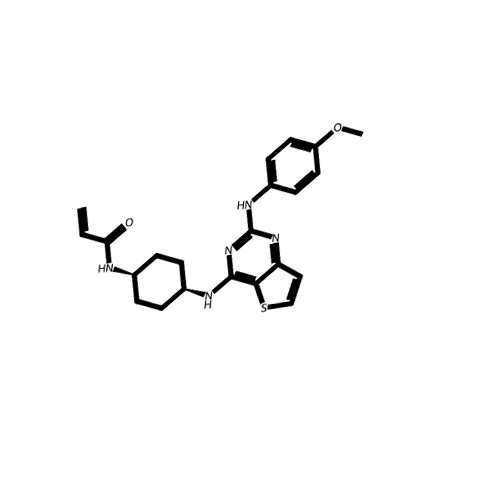 C=CC(=O)N[C@H]1CC[C@@H](Nc2nc(Nc3ccc(OC)cc3)nc3ccsc23)CC1